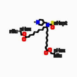 CCCCCCCSC(=O)N(CC1CCN(C)CC1)C(CCCCCCCCC(=O)OCC(CCCC)CCCCCC)CCCCCCCCC(=O)OCC(CCCC)CCCCCC